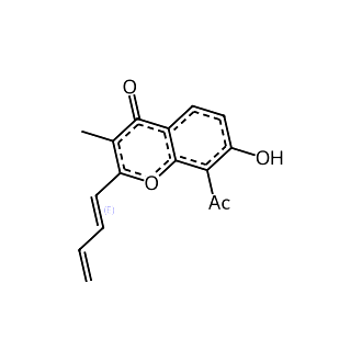 C=C/C=C/c1oc2c(C(C)=O)c(O)ccc2c(=O)c1C